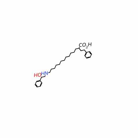 O=C(O)C(CCCCCCCCCCCCNCC(O)c1ccccc1)CCc1ccccc1